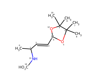 CC(C=CB1OC(C)(C)C(C)(C)O1)NC(=O)O